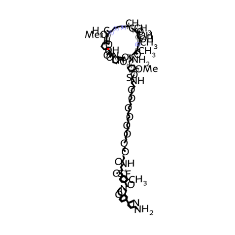 CO[C@H]1C[C@@H]2CCC[C@@](O)(O2)C(=O)C(=O)N2CCCC[C@H]2C(=O)O[C@H]([C@H](N)C[C@@H]2CC[C@@H](OC(=S)NCCOCCOCCOCCOCCOCCOCCOCCOCCC(=O)NCC[S+]([O-])c3ccc(C(=O)N4CCOc5ccc(-c6ccc(N)nc6)cc5C4)c(C)c3F)[C@H](OC)C2)CC(=O)[C@H](C)/C=C(\C)[C@@H](O)[C@@H](O)C(=O)[C@H](C)C[C@H](C)/C=C/C=C/C=C/1C